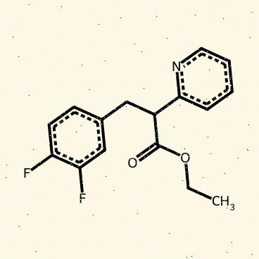 CCOC(=O)C(Cc1ccc(F)c(F)c1)c1ccccn1